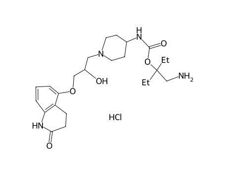 CCC(CC)(CN)OC(=O)NC1CCN(CC(O)COc2cccc3c2CCC(=O)N3)CC1.Cl